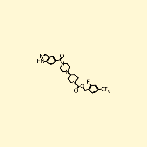 O=C(OCc1ccc(C(F)(F)F)cc1F)N1CCC(N2CCN(C(=O)c3ccc4[nH]ncc4c3)CC2)CC1